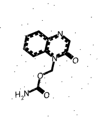 NC(=O)OCn1c(=O)cnc2ccccc21